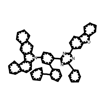 c1ccc(-c2nc(-c3ccc4c(c3)oc3ccccc34)nc(-c3ccc(-n4c5cc6ccccc6cc5c5c6ccccc6ccc54)cc3-c3ccccc3-c3ccccc3)n2)cc1